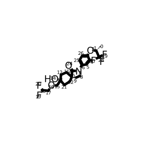 C[C@@H](Oc1ccc(N2CC[C@]3(CC[C@](O)(COCC(F)F)CC3)C2=O)cc1)C(F)(F)F